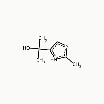 Cc1ncc(C(C)(C)O)[nH]1